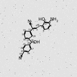 N#C/C(=C\Sc1cccc(N)c1O)c1cccc(C(O)c2ccc(C#N)cc2)c1